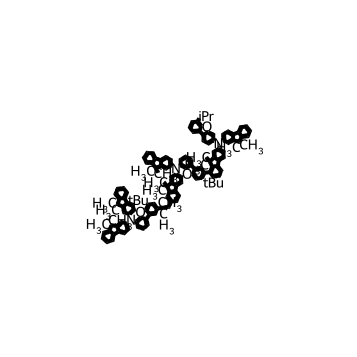 CC(C)c1cccc2c1oc1cc(N(c3ccc4c(c3)C(C)(C)c3ccccc3-4)c3ccc4c(c3)C(C)(C)c3c(-c5cc6c(cc5C(C)(C)C)oc5c(N(c7ccc8c(c7)C(C)(C)c7ccccc7-8)c7ccc8c(c7)C(C)(C)c7cc(CC(C)(C)c9cc(C(C)(C)C)c%10oc%11c(N(c%12ccc%13c(c%12)C(C)(C)c%12ccccc%12-%13)c%12ccc%13c(c%12)C(C)(C)c%12ccccc%12-%13)cccc%11c%10c9)ccc7-8)cccc56)cccc3-4)ccc12